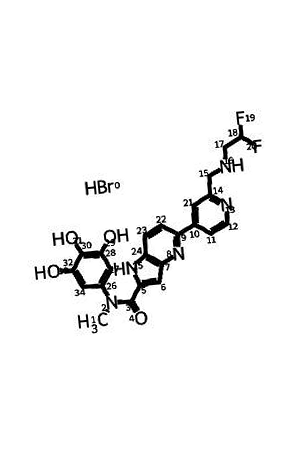 Br.CN(C(=O)c1cc2nc(-c3ccnc(CNCC(F)F)c3)ccc2[nH]1)c1cc(O)c(O)c(O)c1